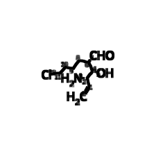 C=C[C@H](N)[C@@H](O)C(C=O)CCCCCl